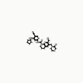 N#Cc1cnc(NC(=O)N2CCCc3cc(CN4CCOCC4=O)c(C=O)nc32)cc1NC1CCCC1